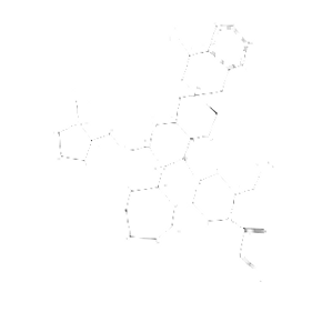 C=CC(=O)N1CCN(C2C3CC[C@@]4(Cc5ccccc5C(C)C4)CC3NC(OCC3CCCN3C)N2C2CCCCCC2)CC1CC#N